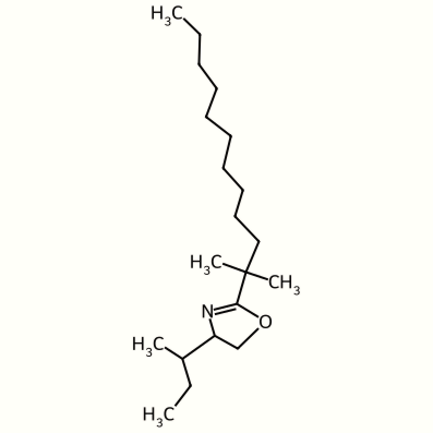 CCCCCCCCCCC(C)(C)C1=NC(C(C)CC)CO1